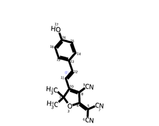 CC1(C)OC(=C(C#N)C#N)C(C#N)=C1/C=C/c1ccc(O)cc1